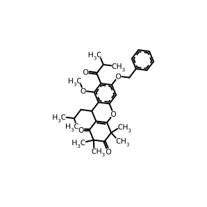 COc1c(C(=O)C(C)C)c(OCc2ccccc2)cc2c1C(CC(C)C)C1=C(O2)C(C)(C)C(=O)C(C)(C)C1=O